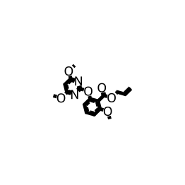 C=CCOC(=O)c1c(OC)cccc1Oc1nc(OC)cc(OC)n1